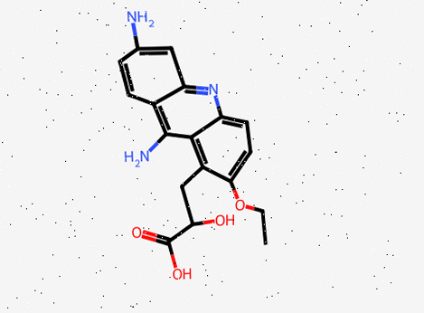 CCOc1ccc2nc3cc(N)ccc3c(N)c2c1CC(O)C(=O)O